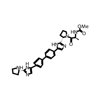 COC(=O)N[C@@H](C)C(=O)N1CCC[C@H]1c1ncc(-c2ccc(-c3ccc(-c4cnc([C@@H]5CCCN5)[nH]4)cc3)cc2)[nH]1